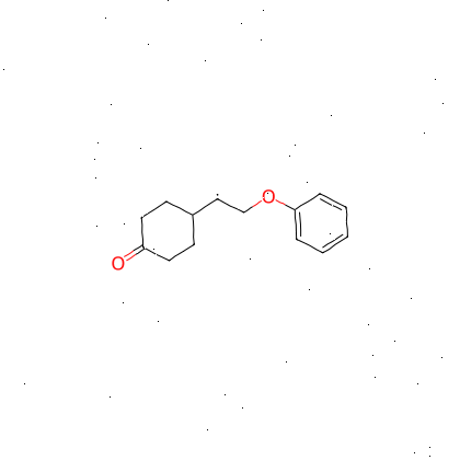 O=C1CCC([CH]COc2ccccc2)CC1